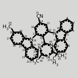 Cc1ccc2c3ccccc3n(-c3cc(C#N)cc(-n4c5ccccc5c5ccc(C)cc54)c3-c3nc(C)nc(C)n3)c2c1